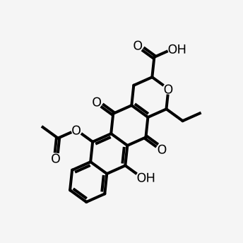 CCC1OC(C(=O)O)CC2=C1C(=O)c1c(c(OC(C)=O)c3ccccc3c1O)C2=O